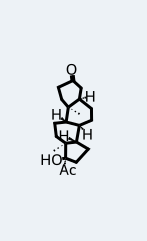 CC(=O)[C@@]1(O)CC[C@H]2[C@@H]3CC[C@@H]4CC(=O)CC[C@]4(C)[C@H]3CC[C@@]21C